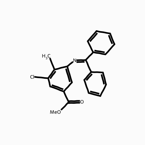 COC(=O)c1cc(Cl)c(C)c(N=C(c2ccccc2)c2ccccc2)c1